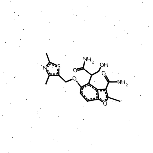 Cc1nc(C)c(COc2ccc3oc(C)c(C(N)=O)c3c2C(CO)C(N)=O)s1